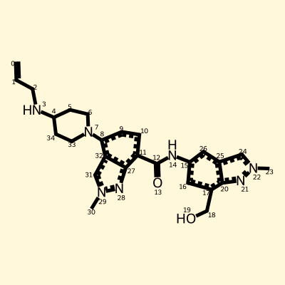 C=CCNC1CCN(c2ccc(C(=O)Nc3cc(CO)c4nn(C)cc4c3)c3nn(C)cc23)CC1